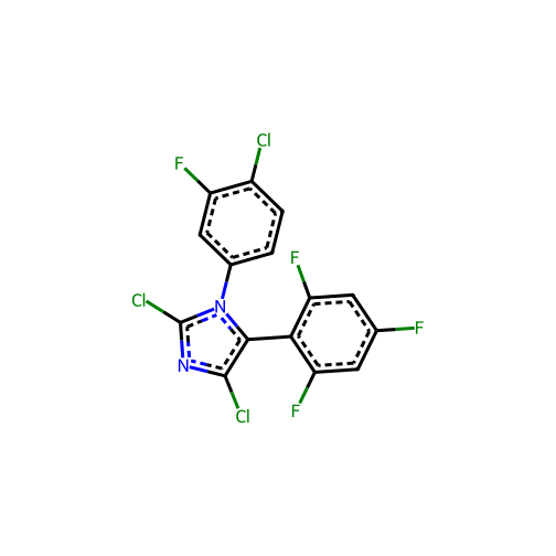 Fc1cc(F)c(-c2c(Cl)nc(Cl)n2-c2ccc(Cl)c(F)c2)c(F)c1